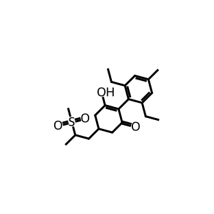 CCc1cc(C)cc(CC)c1C1=C(O)CC(CC(C)S(C)(=O)=O)CC1=O